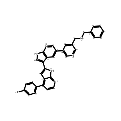 Fc1ccc(-c2ccnc3[nH]c(-c4n[nH]c5ncc(-c6cncc(CNCc7ccccc7)c6)cc45)cc23)cc1